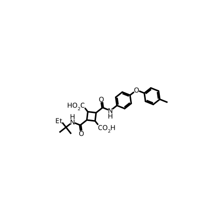 CCC(C)(C)NC(=O)C1C(C(=O)O)C(C(=O)Nc2ccc(Oc3ccc(C)cc3)cc2)C1C(=O)O